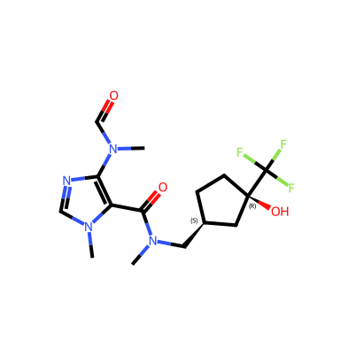 CN(C[C@H]1CC[C@](O)(C(F)(F)F)C1)C(=O)c1c(N(C)C=O)ncn1C